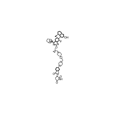 C#Cc1cccc2cc(O)cc(-c3ccc4c(N5CC6CCC(C5)N6)nc(OCC5(CN6CCC7(CC6)CC(CN6CCN(c8ccc9c(c8)CN([C@H]8CCC(=O)NC8=O)C9=O)CC6)C7)CC5)nc4c3F)c12